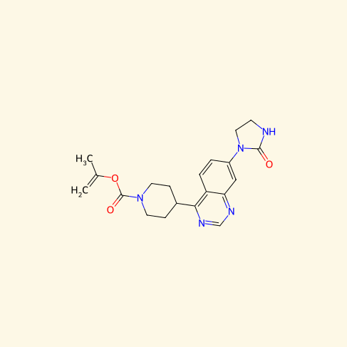 C=C(C)OC(=O)N1CCC(c2ncnc3cc(N4CCNC4=O)ccc23)CC1